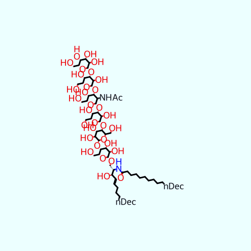 CCCCCCCCCCCCC/C=C/[C@@H](O)[C@H](CO[C@@H]1OC(CO)[C@@H](O[C@@H]2OC(CO)[C@H](O[C@@H]3OC(CO)[C@H](O)[C@H](O[C@@H]4OC(CO)[C@H](O)[C@H](O[C@@H]5OC(CO)[C@H](O)[C@H](O[C@H]6OC(CO)[C@H](O)[C@H](O)C6O)C5O)C4NC(C)=O)C3O)[C@H](O)C2O)[C@H](O)C1O)NC(=O)CCCCCCCCCCCCCCCCCCC